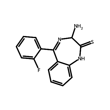 NC1N=C(c2ccccc2F)c2ccccc2NC1=S